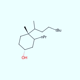 CCCC1C[C@H](O)CC[C@]1(C)C(C)CCC(C)(C)C